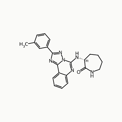 Cc1cccc(-c2nc3c4ccccc4nc(N[C@@H]4CCCCNC4=O)n3n2)c1